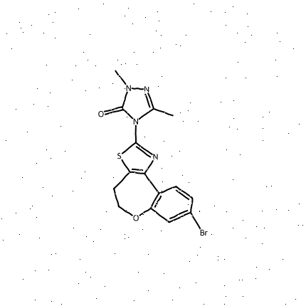 Cc1nn(C)c(=O)n1-c1nc2c(s1)CCOc1cc(Br)ccc1-2